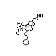 N=NCC1C/C(=C2\O[C@@H]3CC(=O)N3C2C(=O)OCc2ccccc2)C(=O)O1